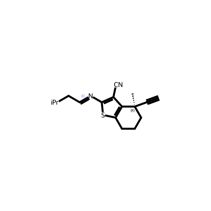 C#C[C@@]1(C)CCCc2sc(/N=C/CC(C)C)c(C#N)c21